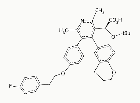 Cc1nc(C)c([C@H](OC(C)(C)C)C(=O)O)c(-c2ccc3c(c2)CCCO3)c1-c1ccc(OCCc2ccc(F)cc2)cc1